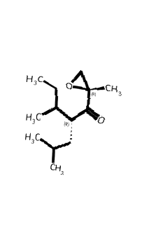 CCC(C)[C@@H](CC(C)C)C(=O)[C@@]1(C)CO1